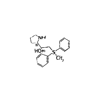 CS(C[C@H](O)[C@@H]1CCCN1)(c1ccccc1)c1ccccc1